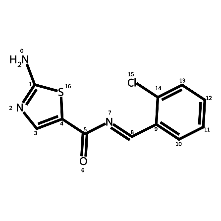 Nc1ncc(C(=O)/N=C/c2ccccc2Cl)s1